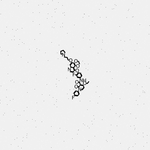 CCOc1ccn(-c2ccc(F)cc2)c(=O)c1C(=O)Nc1ccc(Oc2ccnc3cc(OCCCN4CCCC4)c4c(c23)OCCO4)c(F)c1